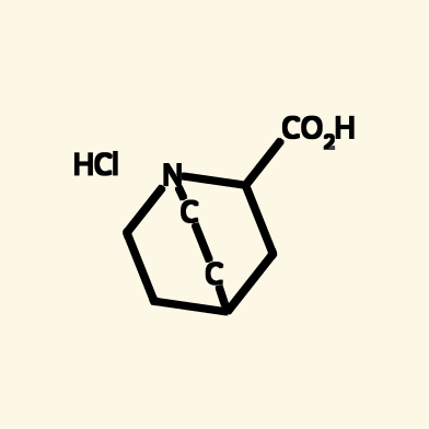 Cl.O=C(O)C1CC2CCN1CC2